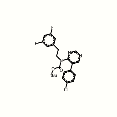 CC(C)(C)OC(=O)N(CCc1cc(F)cc(F)c1)c1ncncc1-c1ccc(Cl)cc1